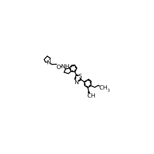 C#Cc1cc(-c2ncc(-c3cccc4c3CCC4NOCCN3CCCC3)s2)ccc1CCC